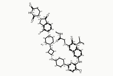 CNC(=O)COc1cc2cc(Nc3nc(N4CCC(O[C@H]5C[C@H](N6CC[C@@H](c7ccc8c(c7F)CN([C@H]7CCC(=O)NC7=O)C8=O)C[C@H]6C)C5)CC4)ncc3Cl)ccc2n(C(C)C)c1=O